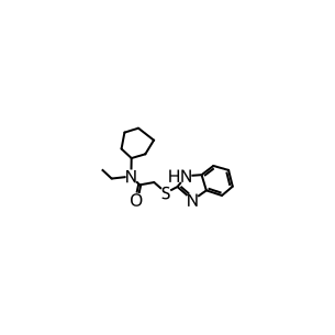 CCN(C(=O)CSc1nc2ccccc2[nH]1)C1CCCCC1